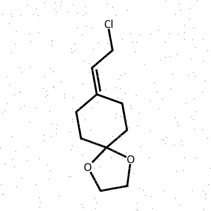 ClCC=C1CCC2(CC1)OCCO2